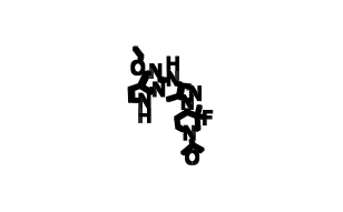 CCOc1nc(Nc2cnn(C3CCN(C4COC4)CC3(C)F)c2C)nc2[nH]ccc12